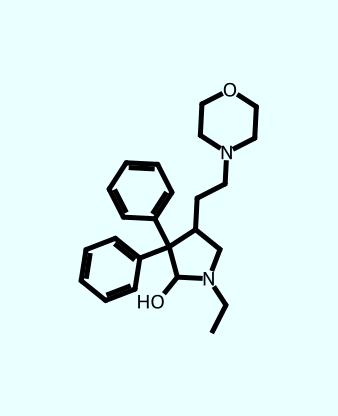 CCN1CC(CCN2CCOCC2)C(c2ccccc2)(c2ccccc2)C1O